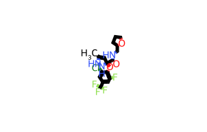 CC1=CC(Oc2c(F)cc(C(F)(F)F)cc2Cl)(C(=O)NCC2CCCO2)NN1